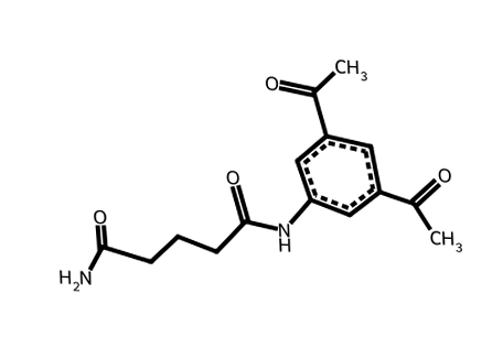 CC(=O)c1cc(NC(=O)CCCC(N)=O)cc(C(C)=O)c1